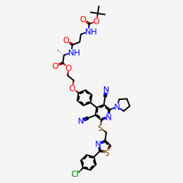 C[C@H](NC(=O)CCNC(=O)OC(C)(C)C)C(=O)OCCOc1ccc(-c2c(C#N)c(SCc3csc(-c4ccc(Cl)cc4)n3)nc(N3CCCC3)c2C#N)cc1